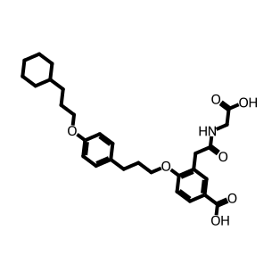 O=C(O)CNC(=O)Cc1cc(C(=O)O)ccc1OCCCc1ccc(OCCCC2CCCCC2)cc1